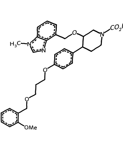 COc1ccccc1COCCCOc1ccc(C2CCN(C(=O)O)CC2OCc2cccc3c2ncn3C)cc1